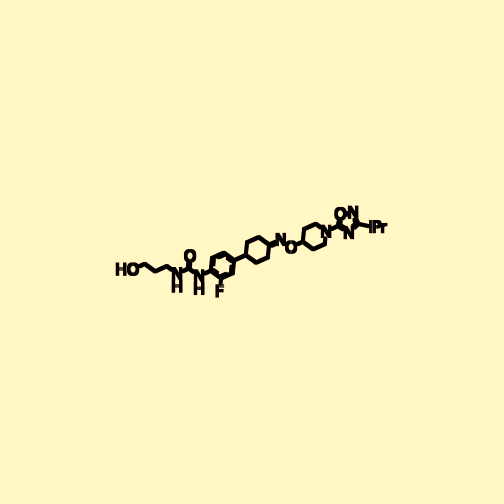 CC(C)c1noc(N2CCC(ON=C3CCC(c4ccc(NC(=O)NCCCO)c(F)c4)CC3)CC2)n1